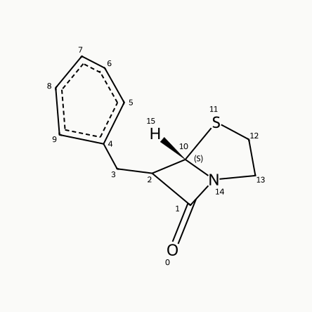 O=C1C(Cc2ccccc2)[C@@H]2SCCN12